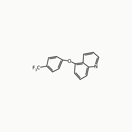 FC(F)(F)c1ccc(Oc2cccc3ncccc23)cc1